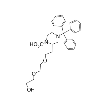 O=C(O)N1CCN(C(c2ccccc2)(c2ccccc2)c2ccccc2)CC1CCOCCOCCO